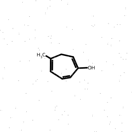 CC1=CC=CC(O)=CC1